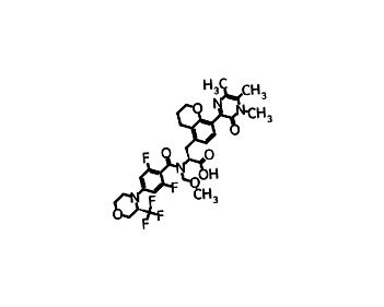 COCN(C(=O)c1c(F)cc(N2CCOC[C@@H]2C(F)(F)F)cc1F)[C@@H](Cc1ccc(-c2nc(C)c(C)n(C)c2=O)c2c1CCCO2)C(=O)O